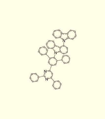 c1ccc(-c2cc(-c3cc(-c4ccccc4)c(-n4c5ccccc5c5c(-n6c7ccccc7c7ccccc76)cccc54)c(-c4ccccc4)c3)nc(-c3ccccc3)n2)cc1